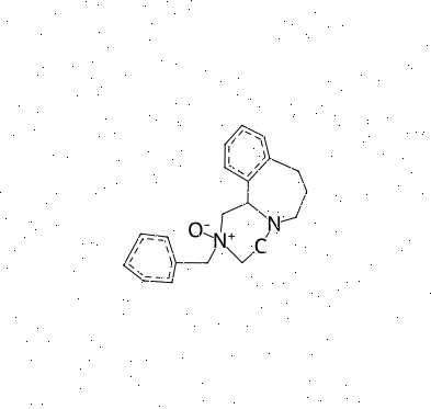 [O-][N+]1(Cc2ccccc2)CCN2CCCc3ccccc3C2C1